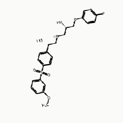 COc1cccc(S(=O)(=O)c2ccc(CCNC[C@H](O)COc3ccc(F)cc3)cc2)c1.Cl